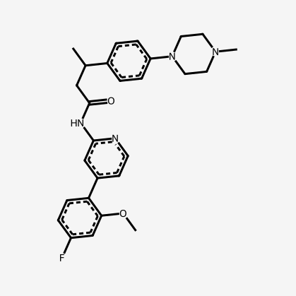 COc1cc(F)ccc1-c1ccnc(NC(=O)CC(C)c2ccc(N3CCN(C)CC3)cc2)c1